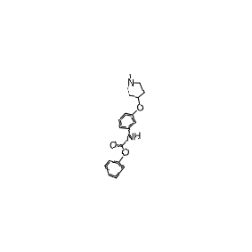 CN1CCC(Oc2cccc(NC(=O)Oc3ccccc3)c2)CC1